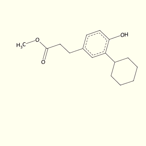 COC(=O)CCc1ccc(O)c(C2CCCCC2)c1